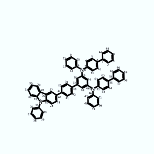 c1ccc(-c2ccc(N(c3ccccc3)c3cc(-c4ccc(-c5ccc6c(c5)c5ccccc5n6-c5ccccc5)cc4)cc(N(c4ccccc4)c4ccc(-c5ccccc5)cc4)c3)cc2)cc1